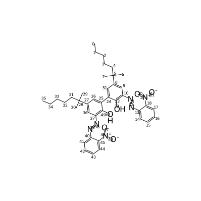 CCCCCC(C)(C)c1cc(N=Nc2ccccc2[N+](=O)[O-])c(O)c(-c2cc(C(C)(C)CCCCC)cc(N=Nc3ccccc3[N+](=O)[O-])c2O)c1